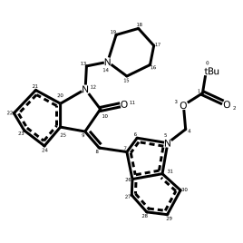 CC(C)(C)C(=O)OCn1cc(C=C2C(=O)N(CN3CCCCC3)c3ccccc32)c2ccccc21